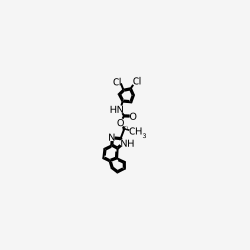 C[C@H](OC(=O)Nc1ccc(Cl)c(Cl)c1)c1nc2ccc3ccccc3c2[nH]1